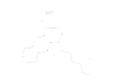 CCN(CC)CCn1nc2c3c(c(NC(C)=O)ccc31)Sc1ccccc1-2